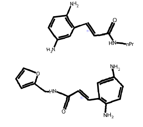 CCCNC(=O)/C=C/c1cc(N)ccc1N.Nc1ccc(N)c(/C=C/C(=O)NCc2ccco2)c1